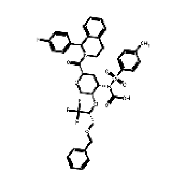 Cc1ccc(S(=O)(=O)N(C(=O)O)[C@H]2C[C@H](C(=O)N3CCc4ccccc4[C@@H]3c3ccc(F)cc3)OC[C@@H]2O[C@H](COCc2ccccc2)C(F)(F)F)cc1